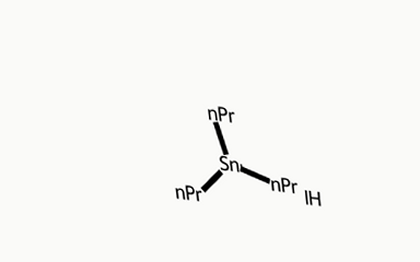 CC[CH2][Sn]([CH2]CC)[CH2]CC.I